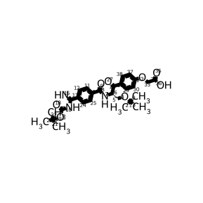 CC(C)(C)OC[C@H](NC(=O)c1ccc(C(=N)NC(=O)OC(C)(C)C)cc1)C(=O)c1ccc(OCC(=O)O)cc1